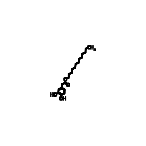 CCCCCCCCCCCCCOC(=O)Cc1ccc(O)c(O)c1